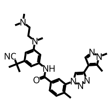 Cc1ccc(C(=O)Nc2cc(N(C)CCN(C)C)cc(C(C)(C)C#N)c2)cc1-n1cc(-c2cnn(C)c2C)nn1